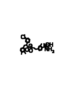 Cc1ccc(CC(C(=O)OC(=O)CCc2ccc(C(N)=NO)c(C)c2)c2cccc(Cl)c2)cc1C